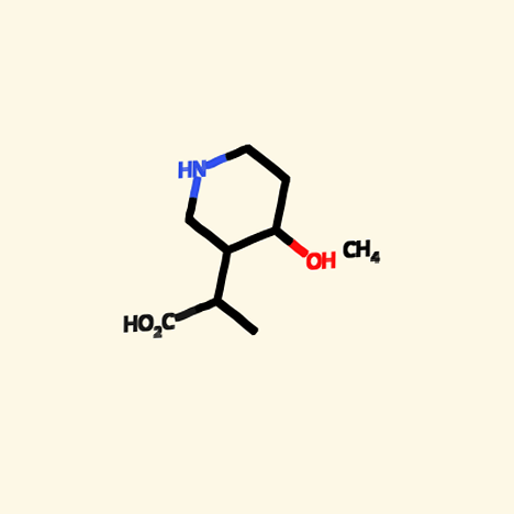 C.CC(C(=O)O)C1CNCCC1O